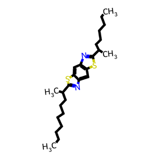 CCCCCCCCC(C)c1nc2cc3sc(C(C)CCCCCC)nc3cc2s1